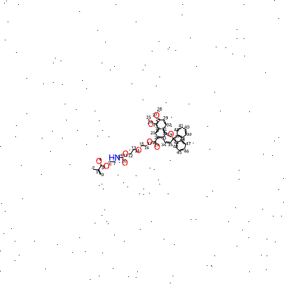 C=C(C)C(=O)OCCNC(=O)OCCOCCOC(=O)c1cc2c(OC)c(OC)ccc2c2c1C=CC(c1ccccc1)(c1ccccc1)O2